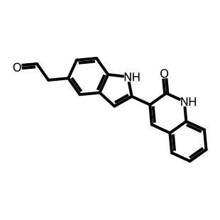 O=CCc1ccc2[nH]c(-c3cc4ccccc4[nH]c3=O)cc2c1